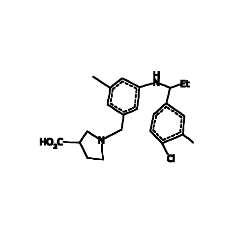 CCC(Nc1cc(C)cc(CN2CCC(C(=O)O)C2)c1)c1ccc(Cl)c(C)c1